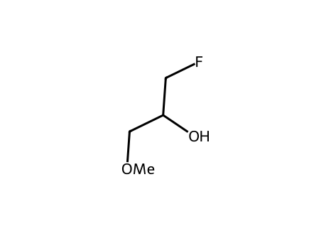 COCC(O)CF